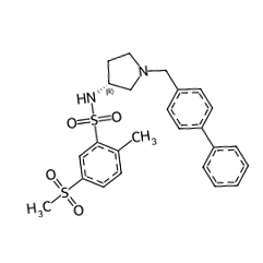 Cc1ccc(S(C)(=O)=O)cc1S(=O)(=O)N[C@@H]1CCN(Cc2ccc(-c3ccccc3)cc2)C1